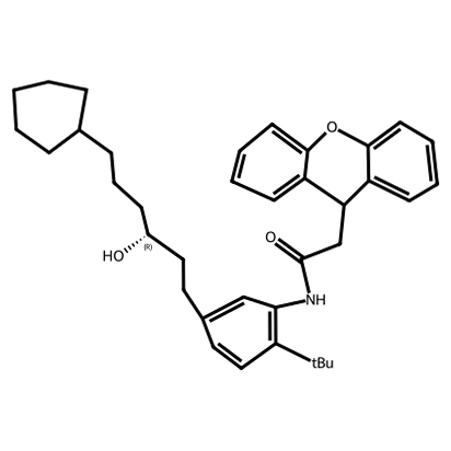 CC(C)(C)c1ccc(CC[C@H](O)CCCC2CCCCC2)cc1NC(=O)CC1c2ccccc2Oc2ccccc21